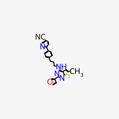 Cc1cc2c(NCCCc3ccc(-c4ccc(C#N)cn4)cc3)nc(-c3ccoc3)nc2s1